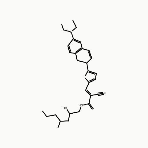 C=C(NCC(O)CC(C)CCC)/C(C#N)=C/c1ccc(C2C=Cc3cc(N(CC)CC)ccc3C2)s1